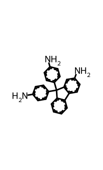 Nc1ccc(C2(c3ccc(N)cc3)c3ccccc3-c3ccc(N)cc32)cc1